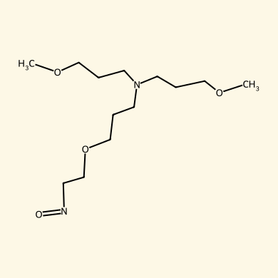 COCCCN(CCCOC)CCCOCCN=O